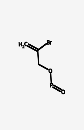 C=C(Br)COP=O